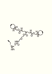 C#CCC[C@H]1[C@@H](CCC)[C@H]1COC(=O)NCCOCCOC(=O)N(CCNC(=O)OC[C@@H]1[C@@H]2CCC#CCC[C@@H]21)CCNC(=O)OC[C@@H]1[C@@H]2CCC#CCC[C@@H]21